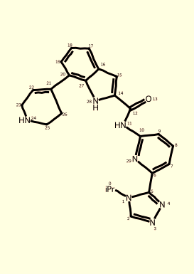 CC(C)n1cnnc1-c1cccc(NC(=O)c2cc3cccc(C4=CCNCC4)c3[nH]2)n1